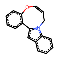 C1=C\Oc2ccccc2-c2cc3ccccc3n2C/1